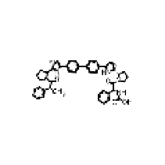 C[C@H](C(=O)N1CCCC1c1ncc(-c2ccc(-c3ccc(-c4cnc([C@@H]5CCCN5C(=O)[C@H](NC(=O)O)c5ccccc5)[nH]4)cc3)cc2)[nH]1)c1ccccc1